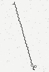 C=CC(=O)OCCCCCCCCCCCCCCCCCCCCCCCCCCCCCCCCCCCCCC(C)C